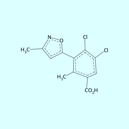 Cc1cc(-c2c(C)c(C(=O)O)cc(Cl)c2Cl)on1